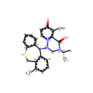 CC(=O)Oc1c2n(ccc1=O)N([C@@H]1c3ccccc3SCc3c1cccc3C(F)(F)F)CN([C@H](C)C(F)(F)F)C2=O